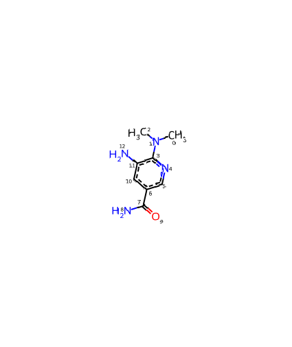 CN(C)c1ncc(C(N)=O)cc1N